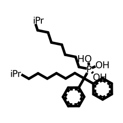 CC(C)CCCCCCCP(O)(O)(O)C(CCCCCCC(C)C)(c1ccccc1)c1ccccc1